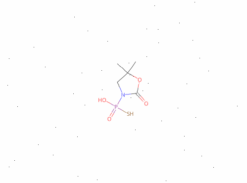 CC1(C)CN(P(=O)(O)S)C(=O)O1